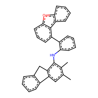 Cc1cc2c(c(Nc3ccccc3-c3cccc4oc5ccccc5c34)c1C)Cc1ccccc1-2